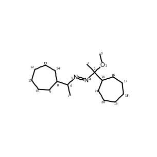 COC(C)(N=NC(C)C1CCCCCC1)C1CCCCCC1